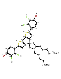 CCCCCCCCCCCCCCCCC1(CCCCCCCCCCCCCCCC)c2cc(-c3ccc(Br)c(F)c3F)sc2-c2sc(-c3ccc(Br)c(F)c3F)cc21